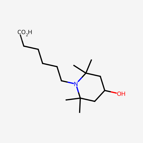 CC1(C)CC(O)CC(C)(C)N1CCCCCC(=O)O